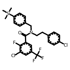 C[Si](C)(C)c1ccc(CN(CCc2ccc(Cl)cc2)C(=O)c2cc(C(F)(F)F)cc(Cl)c2F)cc1